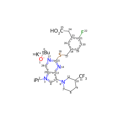 CC(C)(C)[O-].CC(C)n1cc(N2CCCC(C(F)(F)F)C2)c2nc(SCc3ccc(F)c(CC(=O)O)c3)ncc21.[K+]